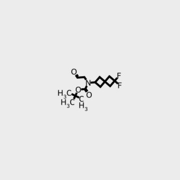 CC(C)(C)OC(=O)N(CC=O)C1CC2(C1)CC(F)(F)C2